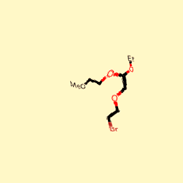 CCOC(COCCBr)OCCOC